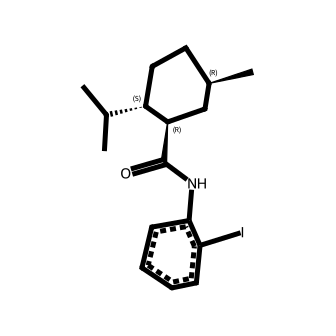 CC(C)[C@@H]1CC[C@@H](C)C[C@H]1C(=O)Nc1ccccc1I